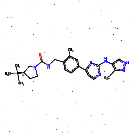 Cc1cc(-c2ccnc(Nc3c[nH]nc3C)n2)ccc1CNC(=O)N1CC[C@@H](C(C)(C)C)C1